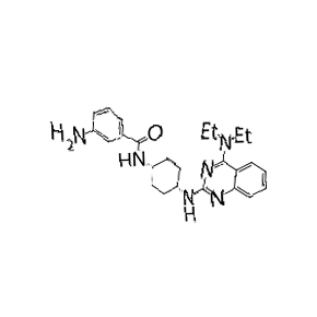 CCN(CC)c1nc(N[C@H]2CC[C@@H](NC(=O)c3cccc(N)c3)CC2)nc2ccccc12